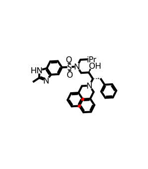 Cc1nc2cc(S(=O)(=O)N(CC(C)C)C[C@@H](O)[C@H](Cc3ccccc3)N(Cc3ccccc3)Cc3ccccc3)ccc2[nH]1